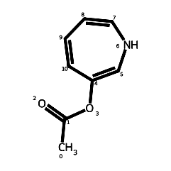 CC(=O)OC1=CNC=CC=C1